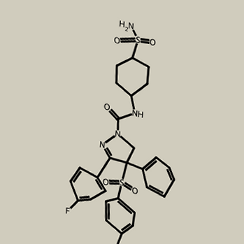 NS(=O)(=O)C1CCC(NC(=O)N2CC(c3ccccc3)(S(=O)(=O)c3ccc(Cl)cc3)C(c3ccc(F)cc3)=N2)CC1